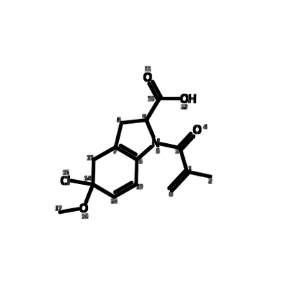 C=C(C)C(=O)N1C2=C(CC1C(=O)O)CC(Cl)(OC)C=C2